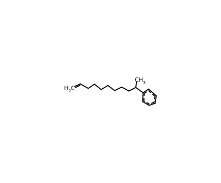 C=CCCCCCCCC(C)c1ccccc1